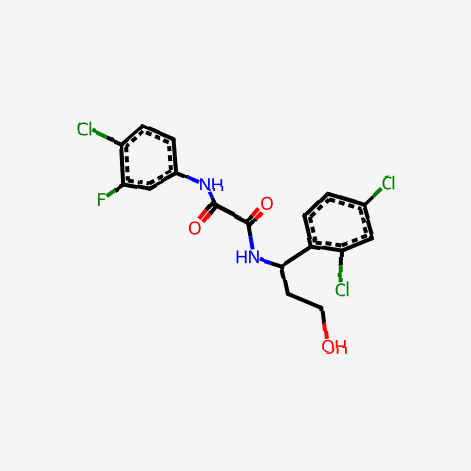 O=C(Nc1ccc(Cl)c(F)c1)C(=O)NC(CCO)c1ccc(Cl)cc1Cl